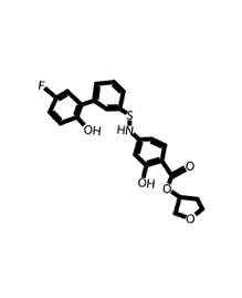 O=C(OC1CCOC1)c1ccc(NSc2cccc(-c3cc(F)ccc3O)c2)cc1O